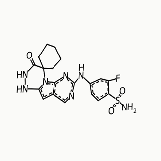 NS(=O)(=O)c1ccc(Nc2ncc3cc4n(c3n2)C2(CCCCC2)C(=O)NN4)cc1F